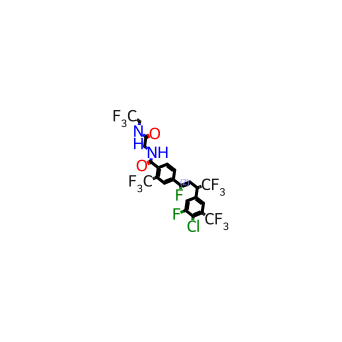 O=C(CNC(=O)c1ccc(/C(F)=C/C(c2cc(F)c(Cl)c(C(F)(F)F)c2)C(F)(F)F)cc1C(F)(F)F)NCC(F)(F)F